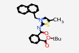 Cc1cn(Cc2cccc3ccccc23)c(=NC(=O)c2ccccc2C(=O)OC(C)(C)C)s1